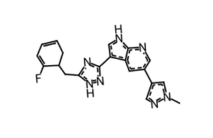 Cn1cc(-c2cnc3[nH]cc(-c4n[nH]c(CC5CC=CC=C5F)n4)c3c2)cn1